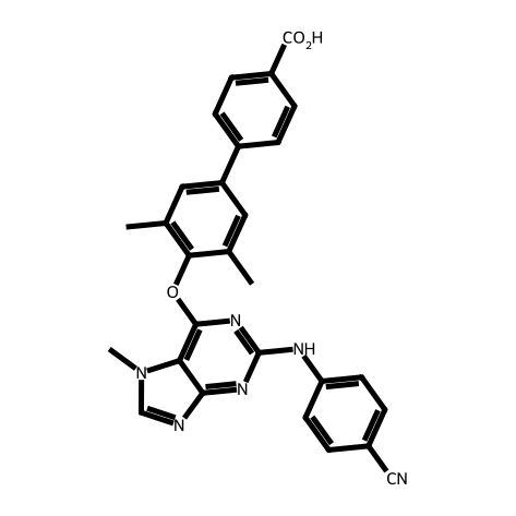 Cc1cc(-c2ccc(C(=O)O)cc2)cc(C)c1Oc1nc(Nc2ccc(C#N)cc2)nc2ncn(C)c12